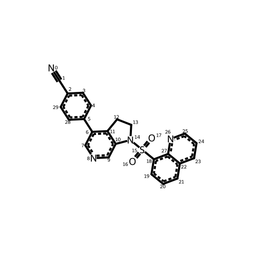 N#Cc1ccc(-c2cncc3c2CCN3S(=O)(=O)c2cccc3cccnc23)cc1